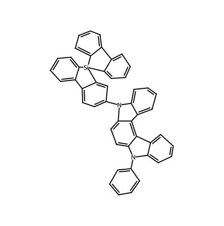 c1ccc(-n2c3ccccc3c3c4c5ccccc5n(-c5ccc6c(c5)[Si]5(c7ccccc7-c7ccccc75)c5ccccc5-6)c4ccc32)cc1